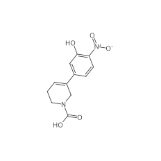 O=C(O)N1CCC=C(c2ccc([N+](=O)[O-])c(O)c2)C1